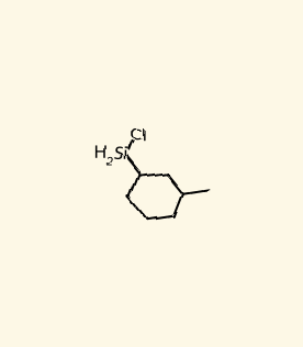 CC1CCCC([SiH2]Cl)C1